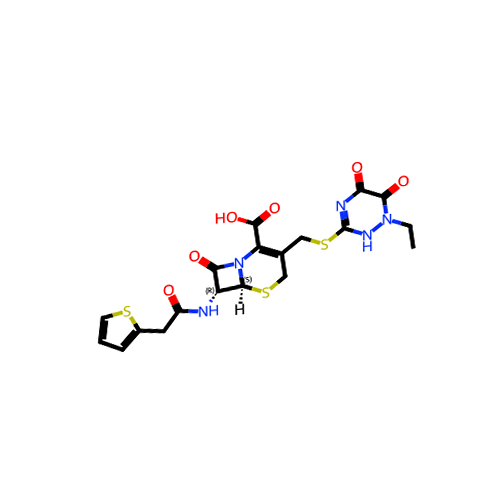 CCn1[nH]c(SCC2=C(C(=O)O)N3C(=O)[C@@H](NC(=O)Cc4cccs4)[C@@H]3SC2)nc(=O)c1=O